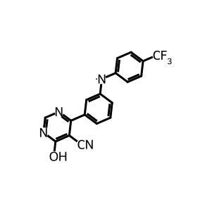 N#Cc1c(O)ncnc1-c1cccc([N]c2ccc(C(F)(F)F)cc2)c1